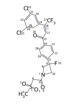 CS(=O)(=O)CC(=O)N1CC(F)(c2ccc(C(=O)/C=C(\c3cc(Cl)cc(Cl)c3)C(F)(F)F)cc2)C1